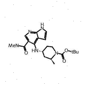 CNC(=O)c1cnc2[nH]ccc2c1N[C@@H]1CCN(C(=O)OC(C)(C)C)[C@@H](C)C1